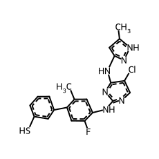 Cc1cc(Nc2nc(Nc3cc(C)c(-c4cccc(S)c4)cc3F)ncc2Cl)n[nH]1